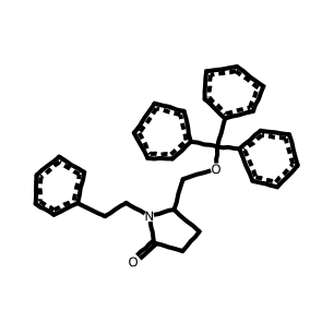 O=C1CCC(COC(c2ccccc2)(c2ccccc2)c2ccccc2)N1CCc1ccccc1